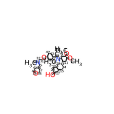 CCN(c1cc(OC)c(OC)cc1[C@@H]1CCc2cc(O)ccc2C1)C(C)c1ccc(OCCN(C)CC2CCOCC2)cc1